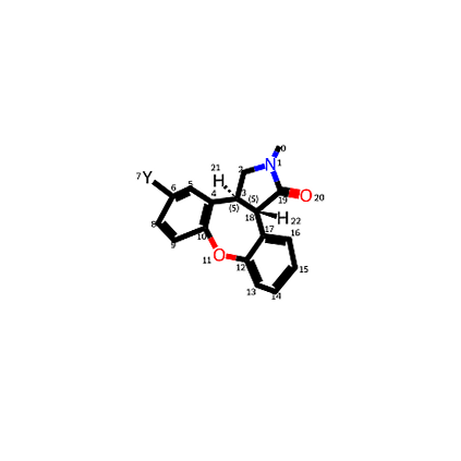 CN1C[C@@H]2c3c[c]([Y])ccc3Oc3ccccc3[C@H]2C1=O